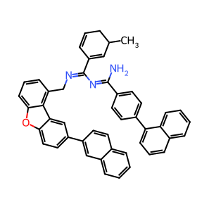 CC1C=C(C(=N/Cc2cccc3oc4ccc(-c5ccc6ccccc6c5)cc4c23)/N=C(\N)c2ccc(-c3cccc4ccccc34)cc2)C=CC1